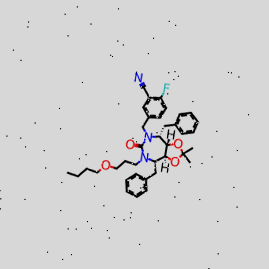 CCCCOCCCN1C(=O)N(Cc2ccc(F)c(C#N)c2)[C@H](Cc2ccccc2)[C@@H]2OC(C)(C)O[C@H]2[C@H]1Cc1ccccc1